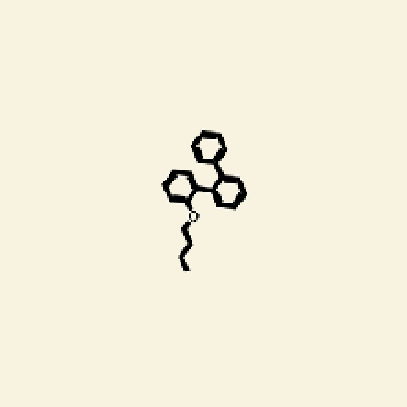 CCCCOc1ccccc1-c1ccccc1-c1ccccc1